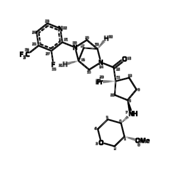 CO[C@@H]1COCC[C@@H]1N[C@@H]1CC[C@@](C(=O)N2C[C@@H]3C[C@H]2CN3c2nccc(C(F)(F)F)c2F)(C(C)C)C1